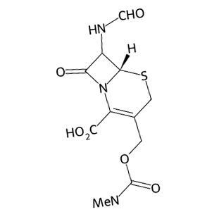 CNC(=O)OCC1=C(C(=O)O)N2C(=O)C(NC=O)[C@@H]2SC1